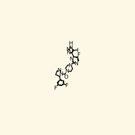 O=C(N1CCN(c2ncc(F)c(-c3nn[nH]c3I)n2)CC1)N1N=CCC1c1cc(F)cc(F)c1